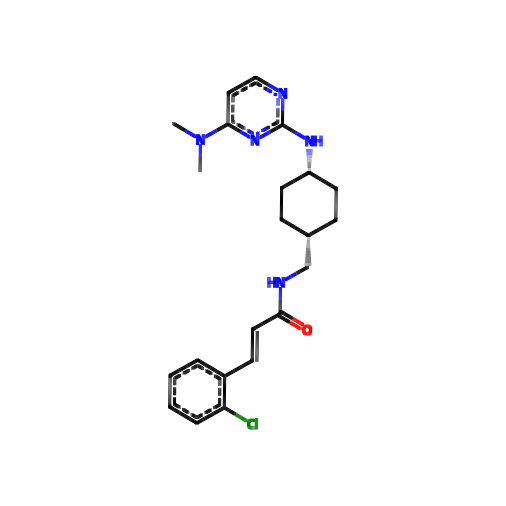 CN(C)c1ccnc(N[C@H]2CC[C@@H](CNC(=O)C=Cc3ccccc3Cl)CC2)n1